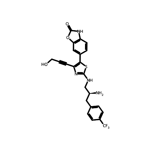 N[C@H](CNc1nc(C#CCO)c(-c2ccc3[nH]c(=O)oc3c2)s1)Cc1ccc(C(F)(F)F)cc1